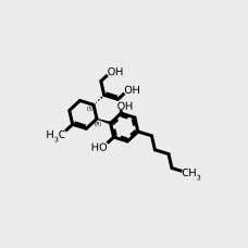 CCCCCc1cc(O)c([C@H]2C=C(C)CC[C@@H]2C(=CO)CO)c(O)c1